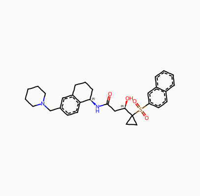 O=C(C[C@@H](O)C1(S(=O)(=O)c2ccc3ccccc3c2)CC1)N[C@@H]1CCCc2cc(CN3CCCCC3)ccc21